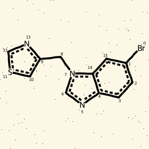 Brc1ccc2ncn(Cc3cscn3)c2c1